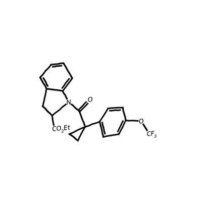 CCOC(=O)C1Cc2ccccc2N1C(=O)C1(c2ccc(OC(F)(F)F)cc2)CC1